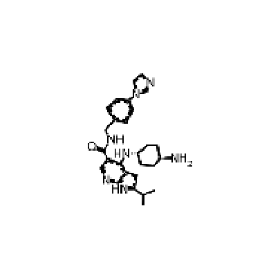 CC(C)c1cc2c(N[C@H]3CC[C@H](N)CC3)c(C(=O)NCc3ccc(-n4ccnc4)cc3)cnc2[nH]1